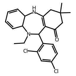 CCN1C(c2ccc(Cl)cc2Cl)C2=C(CC(C)(C)CC2=O)NC2C=CC=CC21